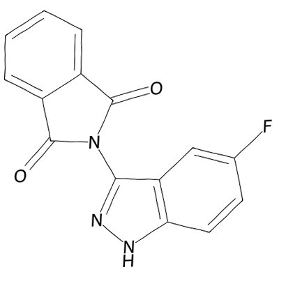 O=C1c2ccccc2C(=O)N1c1n[nH]c2ccc(F)cc12